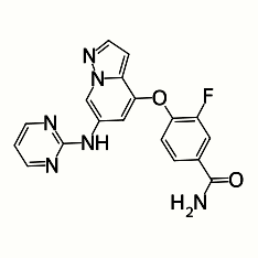 NC(=O)c1ccc(Oc2cc(Nc3ncccn3)cn3nccc23)c(F)c1